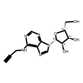 C#CCNc1ncnc2c1ncn2[C@@H]1O[C@H](CO)[C@@H](O)[C@H]1O